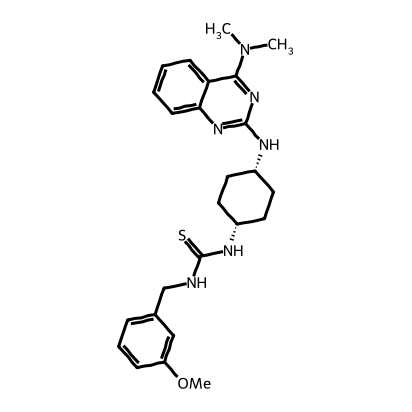 COc1cccc(CNC(=S)N[C@H]2CC[C@@H](Nc3nc(N(C)C)c4ccccc4n3)CC2)c1